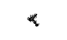 CCOC(=O)N[C@@H]1CC[C@@H]2[C@@H](C1)C[C@H]1C(=O)C[C@H](C)[C@H]1[C@H]2/C=C/c1ccc(-c2cccc(F)c2)cn1